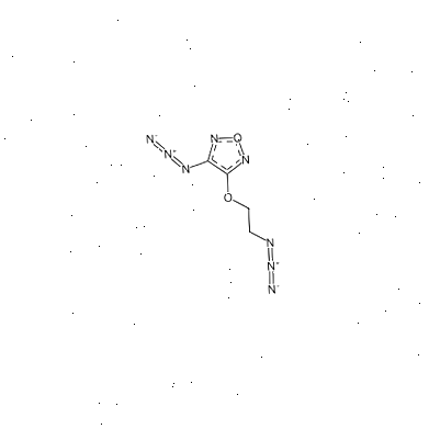 [N-]=[N+]=NCCOc1nonc1N=[N+]=[N-]